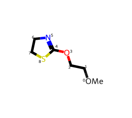 COCCOC1=NCCS1